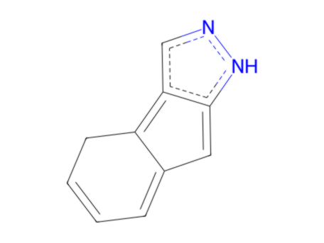 C1=CCC2=c3cn[nH]c3=CC2=C1